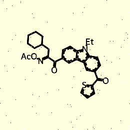 CCn1c2ccc(C(=O)/C(CC3CCCCC3)=N/OC(C)=O)cc2c2cc(C(=O)c3cccs3)ccc21